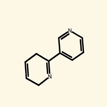 C1=CCC(c2cccnc2)=NC1